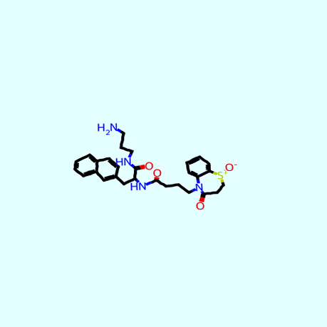 NCCCNC(=O)C(Cc1ccc2ccccc2c1)NC(=O)CCCN1C(=O)CC[S+]([O-])c2ccccc21